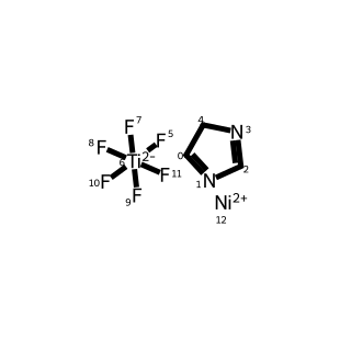 C1=NC=NC1.[F][Ti-2]([F])([F])([F])([F])[F].[Ni+2]